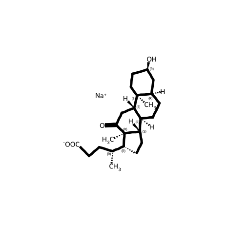 C[C@H](CCC(=O)[O-])[C@H]1CC[C@H]2[C@@H]3CC[C@@H]4C[C@H](O)CC[C@]4(C)[C@H]3CC(=O)[C@]12C.[Na+]